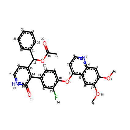 COc1cc2nccc(Oc3ccc(-c4c(C(OC(C)=O)c5ccccc5)cc[nH]c4=O)cc3F)c2cc1OC